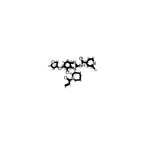 C=CC(=O)N1CCCC[C@@H](n2c(NC(=O)c3ccnc(C)c3)nc3ccc(OC4CCOC4)c(Cl)c32)C1